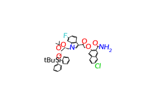 CC1(C)O[C@@H](CO[Si](c2ccccc2)(c2ccccc2)C(C)(C)C)[C@H](Cn2cc(C(=O)COc3cc4ccc(Cl)cc4cc3C(N)=O)c3ccc(F)cc32)O1